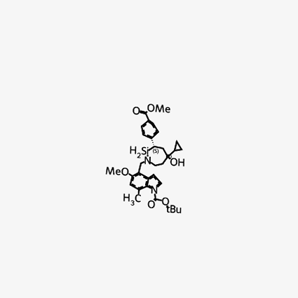 COC(=O)c1ccc([C@@H]2C[C@](O)(C3CC3)CCN(Cc3c(OC)cc(C)c4c3ccn4C(=O)OC(C)(C)C)[SiH2]2)cc1